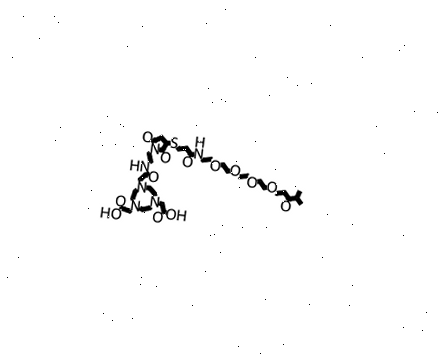 CC(C)C(=O)CCOCCOCCOCCOCCNC(=O)CCSC1CC(=O)N(CCNC(=O)CN2CCN(CC(=O)O)CCN(CC(=O)O)CC2)C1=O